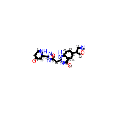 O=c1cc[nH]c(-c2noc(Cc3nc(=O)c4cc(-c5cnoc5)ccc4[nH]3)n2)c1